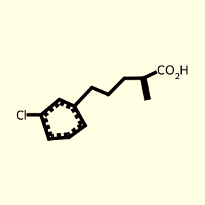 C=C(CCCc1cccc(Cl)c1)C(=O)O